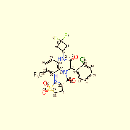 O=C(NC1CC(F)(F)C1)C(c1ccccc1Cl)N(C(=O)[C@@H]1CCS(=O)(=O)N1)c1cccc(C(F)(F)F)c1